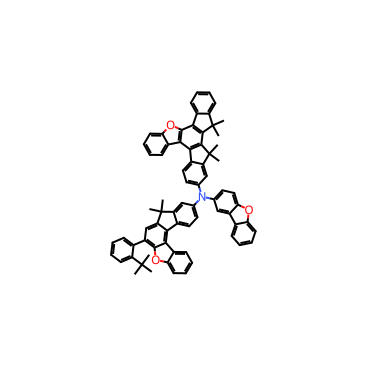 CC(C)(C)c1ccccc1-c1cc2c(c3c1oc1ccccc13)-c1ccc(N(c3ccc4c(c3)C(C)(C)c3c5c(c6oc7ccccc7c6c3-4)-c3ccccc3C5(C)C)c3ccc4oc5ccccc5c4c3)cc1C2(C)C